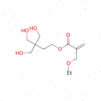 C=C(COCC)C(=O)OCCC(CO)(CO)CO